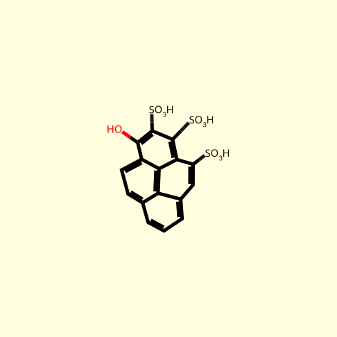 O=S(=O)(O)c1c(O)c2ccc3cccc4cc(S(=O)(=O)O)c(c1S(=O)(=O)O)c2c34